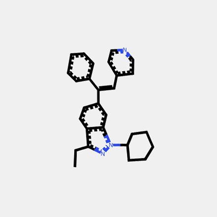 CCc1nn(C2CCCCC2)c2cc(C(=Cc3ccncc3)c3ccccc3)ccc12